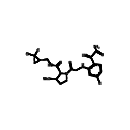 CO[C@@H]1CCN(C(=O)CNc2cc(Cl)ccc2C(=N)C(N)=O)[C@@H]1C(=O)NC[C@H]1CC1(Cl)Cl